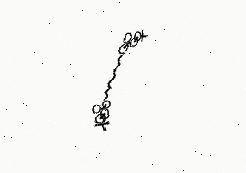 CC(C)(C)OOC(=O)OCCCCCCCCCCOC(=O)OOC(C)(C)C